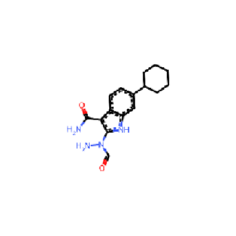 NC(=O)c1c(N(N)C=O)[nH]c2cc(C3CCCCC3)ccc12